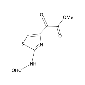 COC(=O)C(=O)c1csc(NC=O)n1